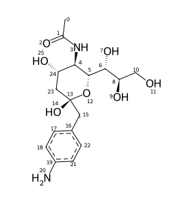 CC(=O)N[C@H]1[C@H]([C@H](O)[C@H](O)CO)O[C@](O)([CH]c2ccc(N)cc2)C[C@@H]1O